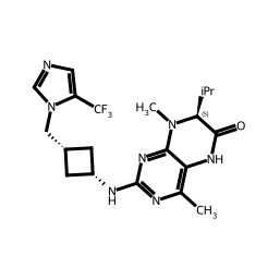 Cc1nc(N[C@H]2C[C@@H](Cn3cncc3C(F)(F)F)C2)nc2c1NC(=O)[C@H](C(C)C)N2C